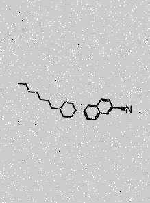 CCCCCCC[C@H]1CC[C@H](c2ccc3cc(C#N)ccc3c2)CC1